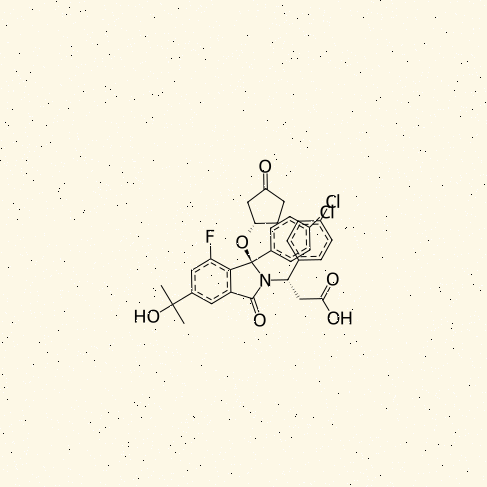 CC(C)(O)c1cc(F)c2c(c1)C(=O)N([C@@H](CC(=O)O)c1ccc(Cl)cc1)[C@@]2(O[C@H]1CCC(=O)C1)c1ccc(Cl)cc1